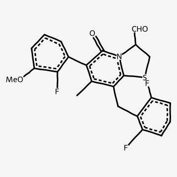 COc1cccc(-c2c(C)c(Cc3c(F)cccc3F)c3n(c2=O)C(C=O)CS3)c1F